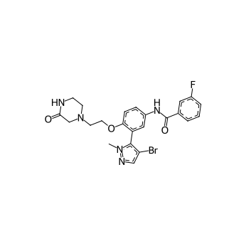 Cn1ncc(Br)c1-c1cc(NC(=O)c2cccc(F)c2)ccc1OCCN1CCNC(=O)C1